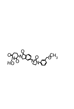 COCc1cccc(N2CCN(c3ccc4c(c3)CN(C3CCC(=O)N(CO)C3=O)C4=O)C2=O)c1